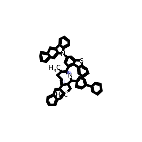 CCC1/C(c2ccc3ccccc3c2)=C/CC(C)/C(c2cc(-n3c4ccccc4c4cc5ccccc5cc43)cc3sc4ccccc4c23)=N\C1c1ccc(-c2ccccc2)cc1